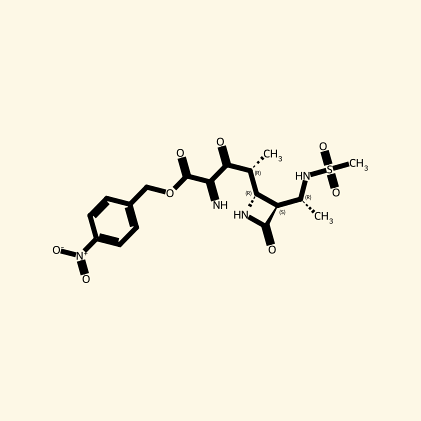 C[C@@H](NS(C)(=O)=O)[C@H]1C(=O)N[C@@H]1[C@@H](C)C(=O)C(=N)C(=O)OCc1ccc([N+](=O)[O-])cc1